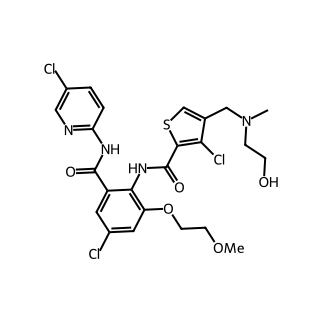 COCCOc1cc(Cl)cc(C(=O)Nc2ccc(Cl)cn2)c1NC(=O)c1scc(CN(C)CCO)c1Cl